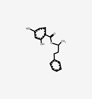 CC(CCc1ccccc1)OC(=O)c1ccc(O)cc1O